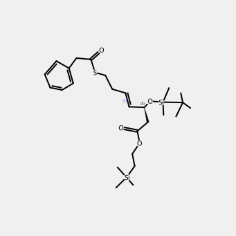 CC(C)(C)[Si](C)(C)O[C@H](/C=C/CCSC(=O)Cc1ccccc1)CC(=O)OCC[Si](C)(C)C